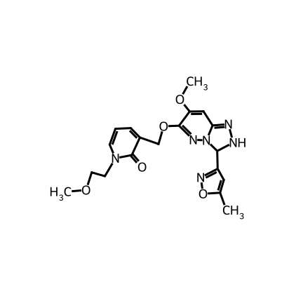 COCCn1cccc(COC2=NN3C(=NNC3c3cc(C)on3)C=C2OC)c1=O